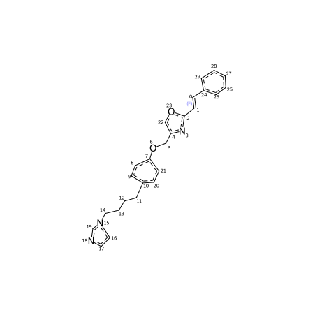 C(=C\c1nc(COc2ccc(CCCCn3ccnc3)cc2)co1)/c1ccccc1